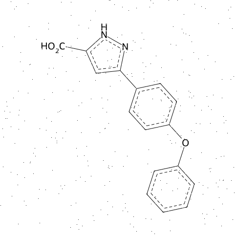 O=C(O)c1cc(-c2ccc(Oc3ccccc3)cc2)n[nH]1